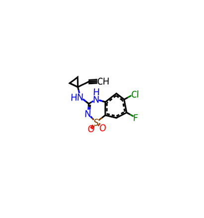 C#CC1(NC2=NS(=O)(=O)c3cc(F)c(Cl)cc3N2)CC1